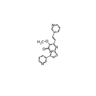 COc1c(/C=C/c2cccnc2)nc2scc(-c3cccnc3)n2c1=O